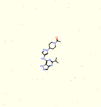 CC(=O)N1CCC(n2cc(Nc3nc(C(C)C)nc4cn[nH]c34)cn2)CC1